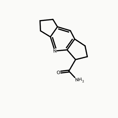 NC(=O)C1CCc2cc3c(nc21)CCC3